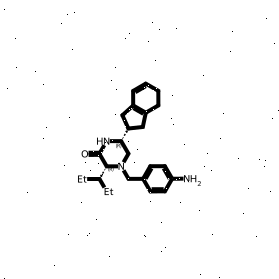 CCC(CC)[C@@H]1C(=O)N[C@H](C2CC3=C(CCC=C3)C2)CN1Cc1ccc(N)cc1